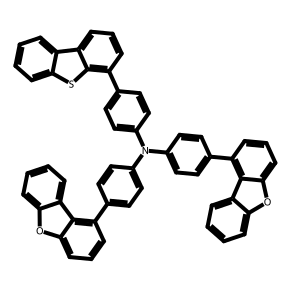 c1ccc2c(c1)oc1cccc(-c3ccc(N(c4ccc(-c5cccc6c5sc5ccccc56)cc4)c4ccc(-c5cccc6oc7ccccc7c56)cc4)cc3)c12